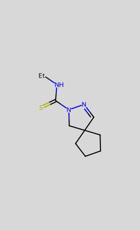 CCNC(=S)N1CC2(C=N1)CCCC2